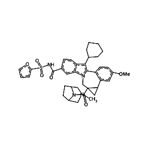 COc1ccc2c(c1)C1CC1(C(=O)N1C3CCC1CN(C)C3)Cn1c-2c(C2CCCCC2)c2ccc(C(=O)NS(=O)(=O)c3ccco3)cc21